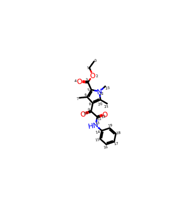 CCOC(=O)c1c(C)c(C(=O)C(=O)Nc2ccccc2)c(C)n1C